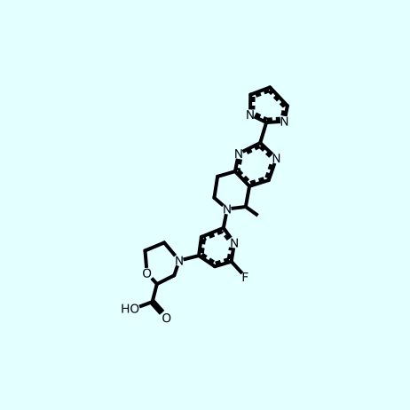 CC1c2cnc(-c3ncccn3)nc2CCN1c1cc(N2CCOC(C(=O)O)C2)cc(F)n1